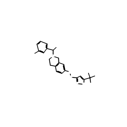 CC(c1cccc(Cl)c1)N1CCc2ccc(SNc3cc(C(C)(C)C)on3)cc2C1